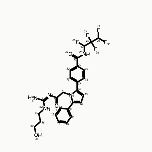 NC(=NC(=O)Cn1c(-c2ccccc2)ccc1-c1ccc(C(=O)NC(F)C(F)(F)C(F)F)cc1)NCCCO